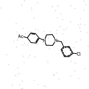 CC(=O)C1C=CC(N2CCN(Cc3cccc(Cl)c3)CC2)=CC1